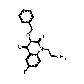 CCCN1C(=O)C(OCc2ccccc2)C(=O)c2cc(I)ccc21